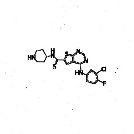 Fc1ccc(Nc2ncnc3sc(C(=S)NC4CCNCC4)cc23)cc1Cl